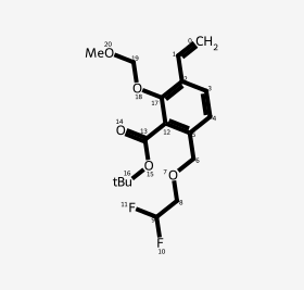 C=Cc1ccc(COCC(F)F)c(C(=O)OC(C)(C)C)c1OCOC